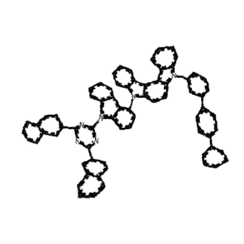 c1ccc(-c2ccc(-c3cccc(-n4c5ccccc5c5c6c7ccccc7n(-c7cccc8c7c7ccccc7n8-c7nc(-c8ccc9ccccc9c8)nc(-c8ccc9ccccc9c8)n7)c6ccc54)c3)cc2)cc1